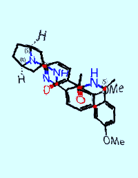 COc1ccc([C@H](C)NC(=O)c2ccc(N3[C@@H]4CC[C@H]3C[C@@H](NC(=O)c3cccc(OC)c3C)C4)nc2)cc1